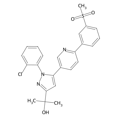 CC(C)(O)c1cc(-c2ccc(-c3cccc(S(C)(=O)=O)c3)nc2)n(-c2ccccc2Cl)n1